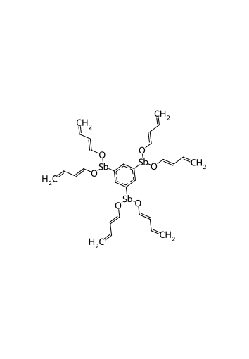 C=CC=C[O][Sb]([O]C=CC=C)[c]1c[c]([Sb]([O]C=CC=C)[O]C=CC=C)c[c]([Sb]([O]C=CC=C)[O]C=CC=C)c1